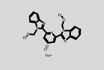 CCOCn1c(-c2cccc(-c3nc4ccccc4n3COCC)n2)nc2ccccc21.[Cl-].[Cl-].[Fe+2]